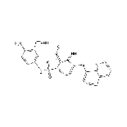 N=Cc1cc(NS(=O)(=O)C2=CC=C(Sc3cccc4cccnc34)C(=N)/C2=N\O)ccc1N